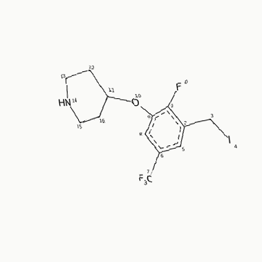 Fc1c(CI)cc(C(F)(F)F)cc1OC1CCNCC1